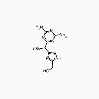 CCCCC(c1c[nH]c(CO)n1)c1nc(N)nc(N)n1